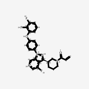 C=CC(=O)N1CCC[C@@H](c2nn(-c3ccc(Oc4cccc(F)c4F)cc3)c3cncc(F)c23)C1